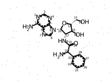 Nc1ncnc2c1ncn2[C@@H]1O[C@H](CO)C(O)[C@@H]1NC(=O)C(N)c1ccccc1